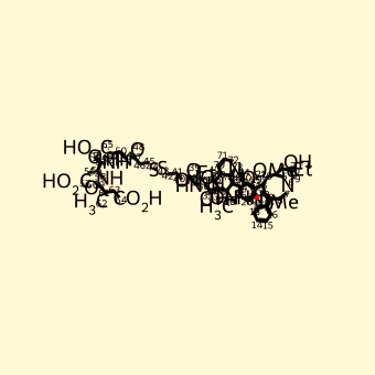 CC[C@]1(O)CC2CN(CCc3c([nH]c4ccccc34)[C@@](C(=O)OC)(c3cc4c(cc3OC)N(C)[C@H]3[C@@](O)(C(=O)NNC(=O)OCCSSCCC(=O)NC[C@H](NC(=O)[C@H](CC(=O)O)NC(=O)[C@@H](C)CC(=O)O)C(=O)O)[C@H](O)[C@]5(CC)C=CCN6CC[C@]43[C@@H]65)C2)C1